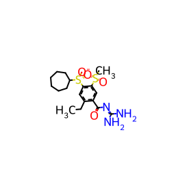 CCc1cc([S+]([O-])C2CCCCCC2)c(S(C)(=O)=O)cc1C(=O)N=C(N)N